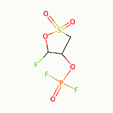 O=P(F)(F)OC1CS(=O)(=O)OC1F